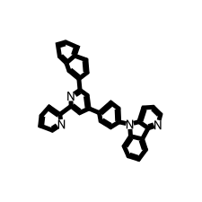 c1ccc(-c2cc(-c3ccc(-n4c5ccccc5c5ncccc54)cc3)cc(-c3ccc4ccccc4c3)n2)nc1